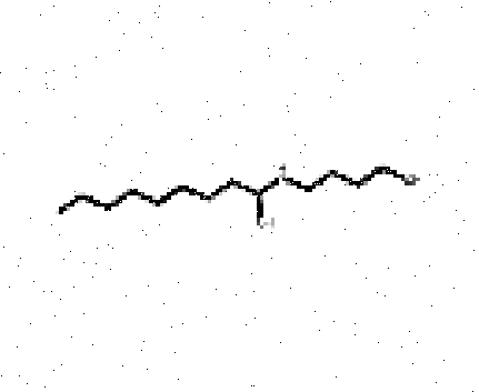 CCCCCCCCC(O)NCCCCO